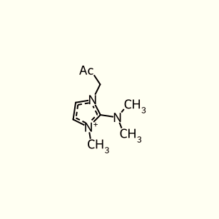 CC(=O)Cn1cc[n+](C)c1N(C)C